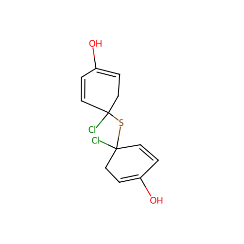 OC1=CCC(Cl)(SC2(Cl)C=CC(O)=CC2)C=C1